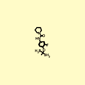 BC(B)(C)Oc1ccc(NC(=O)N2CCCCC2)cc1F